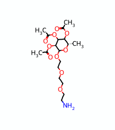 CC(=O)OC1C(OC(C)=O)[C@H](C)OC(OCCOCCOCCN)[C@H]1OC(C)=O